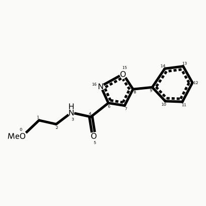 COCCNC(=O)c1cc(-c2ccccc2)on1